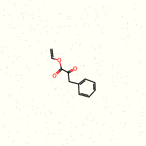 C=COC(=O)C(=O)Cc1ccccc1